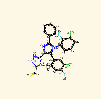 CN1C(c2nc(-c3ccccc3)n(-c3cccc(Cl)c3F)c2-c2ccc(F)c(Cl)c2)=NNC1C=S